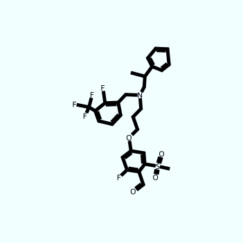 CC(CN(CCCOc1cc(F)c(C=O)c(S(C)(=O)=O)c1)Cc1cccc(C(F)(F)F)c1F)c1ccccc1